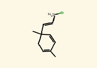 CC1=CCC(C)(C=C[SiH2]Br)C=C1